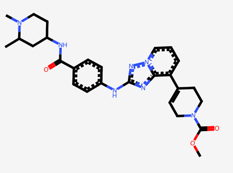 COC(=O)N1CC=C(c2cccn3nc(Nc4ccc(C(=O)NC5CCN(C)C(C)C5)cc4)nc23)CC1